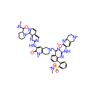 COc1nc2c(cc1Nc1nc(CN3CCc4c(cc(Nc5ncc6ccnc(N7CCCCC7C(=O)N(C)C)c6n5)c(=O)n4C)C3)c3cccc(-c4ccccc4S(=O)(=O)N(C)C)c3n1)CN(C)CC2